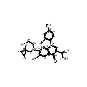 O=C(O)c1cn(-c2ccc(F)cc2F)c2nc(N3CCNC4(CC4)C3)c(F)cc2c1=O